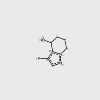 OC1CCCn2ncc(F)c21